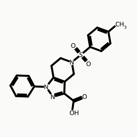 Cc1ccc(S(=O)(=O)N2CCc3c(c(C(=O)O)nn3-c3ccccc3)C2)cc1